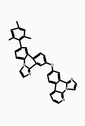 Cc1cc(C)c(-c2ccc3c(c2)c2ccc(Oc4ccc5c6cccnc6n6ccnc6c5c4)cc2c2nccn32)c(C)c1